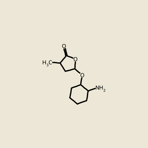 CC1CC(OC2CCCCC2N)OC1=O